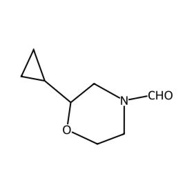 O=CN1CCOC(C2CC2)C1